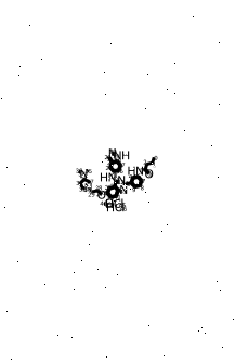 CCCC(=O)Nc1cccc(-c2nc(Nc3ccc4[nH]ncc4c3)c3cc(OCCN4CC[C@H](N(C)C)C4)c(OC)cc3n2)c1.Cl.Cl